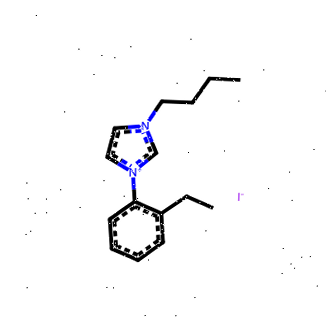 CCCCn1cc[n+](-c2ccccc2CC)c1.[I-]